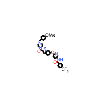 COc1ccc(CN2CCN(C(=O)c3cc4ccc(Oc5ccc(NC(=O)c6ccc(C(F)(F)F)cc6)cn5)cc4n3C)CC2)cc1